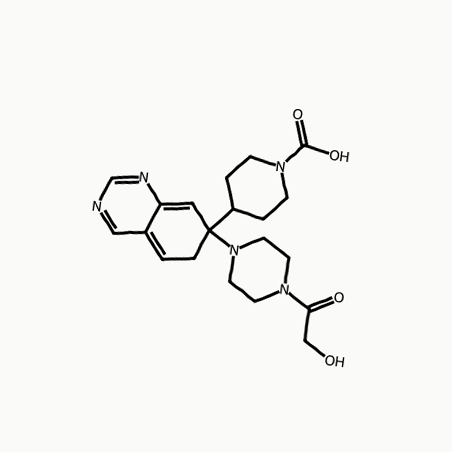 O=C(O)N1CCC(C2(N3CCN(C(=O)CO)CC3)C=c3ncncc3=CC2)CC1